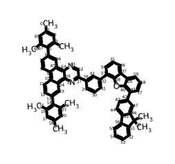 Cc1cc(C)c(-c2ccc3c4ccc(-c5c(C)cc(C)cc5C)cc4c4nc(-c5cccc(-c6cccc7c6oc6c(-c8ccc9c(c8)C(C)(C)c8ccccc8-9)cccc67)c5)cnc4c3c2)c(C)c1